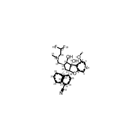 COc1cncc2c1[C@]1(O)[C@H](O)[C@H](CN(C)CC(F)F)[C@@H](c3ccccc3)[C@]1(c1ccc(C#N)cc1)O2